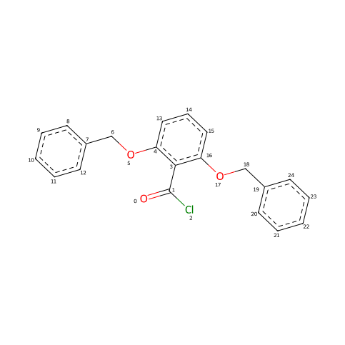 O=C(Cl)c1c(OCc2ccccc2)cccc1OCc1ccccc1